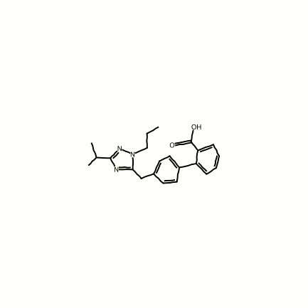 CCCn1nc(C(C)C)nc1Cc1ccc(-c2ccccc2C(=O)O)cc1